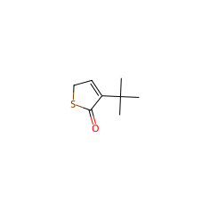 CC(C)(C)C1=CCSC1=O